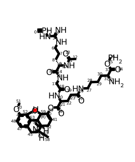 C#[PH]NC(=N)NCCC[C@H](NC(C)=O)C(=O)NCC(=O)NC(CCC(=O)NCCCCC(N)C(=O)OP)C(=O)OC1=CC[C@H]2[C@H]3Cc4ccc(OC)c5c4[C@@]2(CCN3C)[C@H]1O5